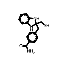 NC(=O)c1ccc(CC2(CS)Nc3ccccc3N2)cc1